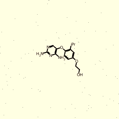 CC(C)c1cc(OCCO)ccc1Oc1cnc(N)nc1N